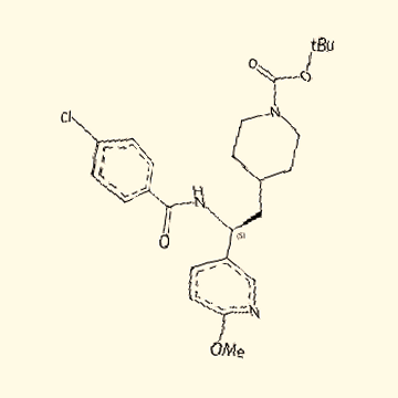 COc1ccc([C@H](CC2CCN(C(=O)OC(C)(C)C)CC2)NC(=O)c2ccc(Cl)cc2)cn1